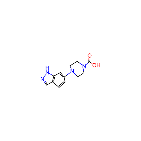 O=C(O)N1CCN(c2ccc3cn[nH]c3c2)CC1